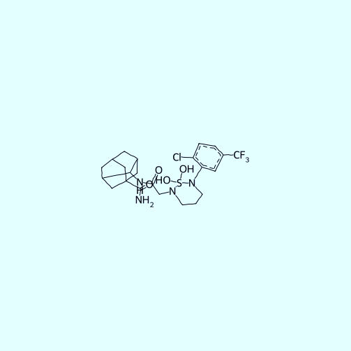 NC(=O)C12CC3CC(C1)C(NC(=O)CN1CCCN(c4cc(C(F)(F)F)ccc4Cl)S1(O)O)C(C3)C2